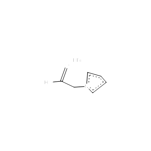 Br.O=C(O)Cn1cccc1